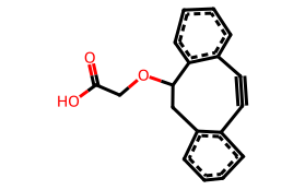 O=C(O)COC1Cc2ccccc2C#Cc2ccccc21